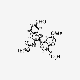 COC(=O)C[C@H]1C(=O)N(CC(=O)O)CCN1C(=O)[C@H](Cc1ccc(C=O)cc1)NC(=O)OC(C)(C)C